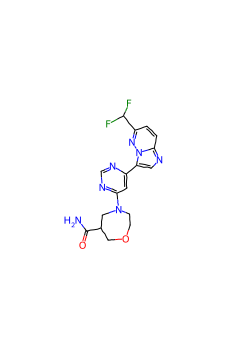 NC(=O)C1COCCN(c2cc(-c3cnc4ccc(C(F)F)nn34)ncn2)C1